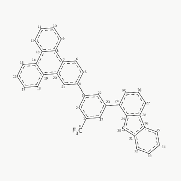 FC(F)(F)c1cc(-c2ccc3c4ccccc4c4ccccc4c3c2)cc(-c2cccc3c2sc2ccccc23)c1